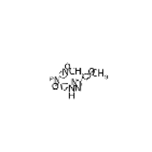 COc1ccc(-c2cnc(Nc3ccc(C(=O)N(C4CC4)C4CCN(C(C)=O)CC4)cc3)nc2)cc1